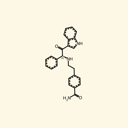 NC(=O)c1ccc(CCN[C@H](C(=O)c2c[nH]c3ccccc23)c2ccccc2)cc1